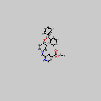 CCOC(=O)c1ccnc(CN2CCC(OC(c3ccccc3)c3ccccc3)CC2)c1